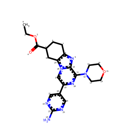 CCOC(=O)C1CCc2nc3c(N4CCOCC4)nc(-c4cnc(N)nc4)cn3c2C1